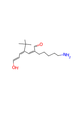 CC(C)(C)/C(C=C(C=O)CCCCCN)=C/C=C/O